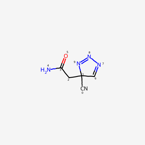 N#CC1(CC(N)=O)C=NN=N1